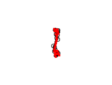 CC(ON1C(C)(C)CC2(CC1(C)C)OCC(COC(=O)CCCCCCC(=O)OCC1COC3(CC(C)(C)N(OC(C)c4ccccc4)C(C)(C)C3)O1)O2)c1ccccc1